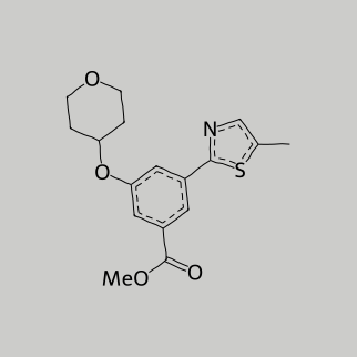 COC(=O)c1cc(OC2CCOCC2)cc(-c2ncc(C)s2)c1